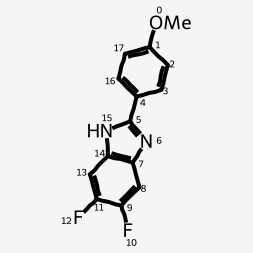 COc1ccc(-c2nc3cc(F)c(F)cc3[nH]2)cc1